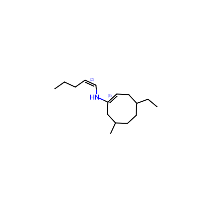 CCC/C=C\N/C1=C/CC(CC)CCC(C)C1